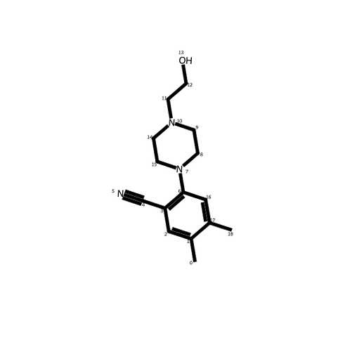 Cc1cc(C#N)c(N2CCN(CCO)CC2)cc1C